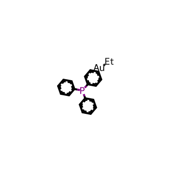 C[CH2][Au].c1ccc(P(c2ccccc2)c2ccccc2)cc1